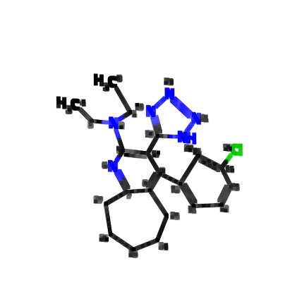 CCN(CC)c1nc2c(c(-c3cccc(Cl)c3)c1-c1nnn[nH]1)CCCCC2